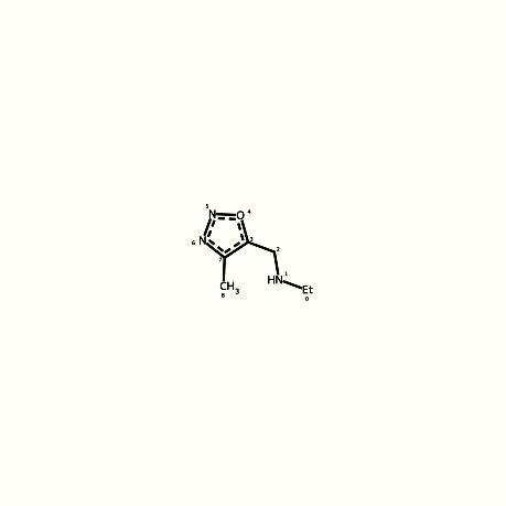 CCNCc1onnc1C